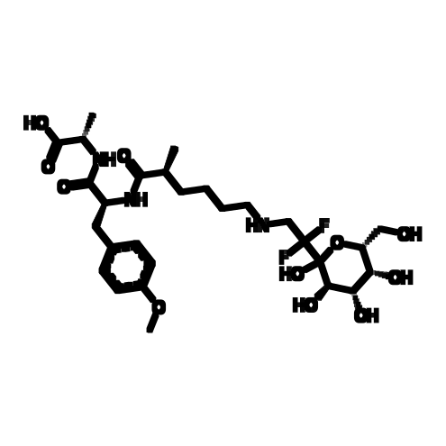 COc1ccc(C[C@H](NC(=O)[C@@H](C)CCCCNCC(F)(F)C2(O)O[C@H](CO)[C@H](O)[C@H](O)[C@H]2O)C(=O)N[C@@H](C)C(=O)O)cc1